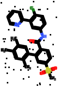 Cc1cc(C)c(-c2cc(S(C)(=O)=O)ccc2C(=O)Nc2ccc(Cl)c(-c3ccccn3)c2)cc1C